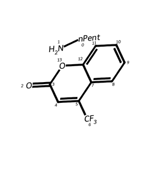 CCCCCN.O=c1cc(C(F)(F)F)c2ccccc2o1